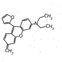 C=c1ccc2c(c1)Oc1cc(N(CC)CC)ccc1C=2c1ccco1